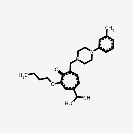 CCCCOc1cc(C(C)C)ccc(CN2CCN(c3cccc(C)c3)CC2)c1=O